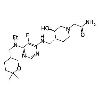 CCN(C[C@H]1CCC(C)(C)OC1)c1ncnc(NC[C@H]2CCN(CC(N)=O)C[C@@H]2O)c1F